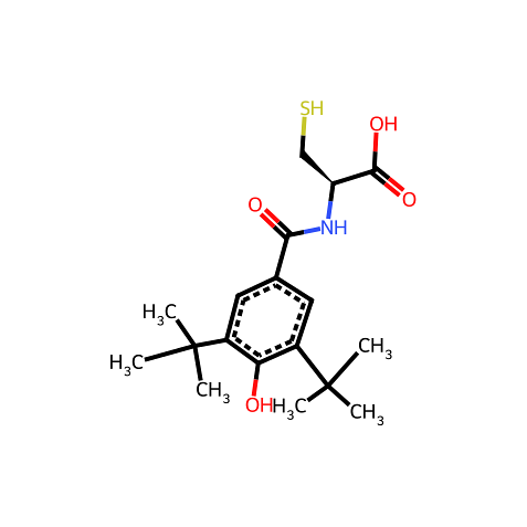 CC(C)(C)c1cc(C(=O)N[C@@H](CS)C(=O)O)cc(C(C)(C)C)c1O